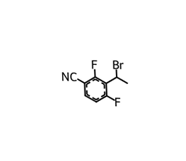 CC(Br)c1c(F)ccc(C#N)c1F